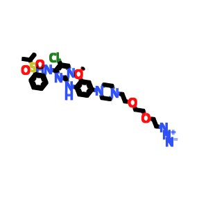 COc1cc(N2CCN(CCOCCOCCN=[N+]=[N-])CC2)ccc1Nc1ncc(Cl)c(Nc2ccccc2S(=O)(=O)C(C)C)n1